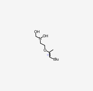 C/C(=C\C(C)(C)C)OCCN(O)CO